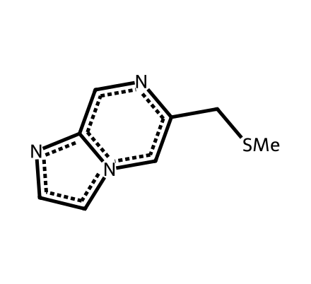 CSCc1cn2ccnc2cn1